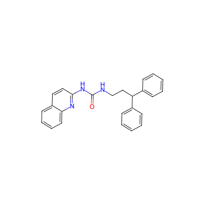 O=C(NCCC(c1ccccc1)c1ccccc1)Nc1ccc2ccccc2n1